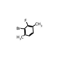 Cc1ccc(C)c(Br)c1F